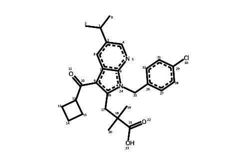 CC(C)c1cnc2c(c1)c(C(=O)C1CCC1)c(CC(C)(C)C(=O)O)n2Cc1ccc(Cl)cc1